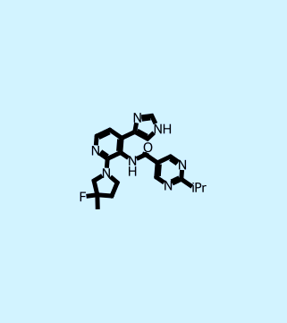 CC(C)c1ncc(C(=O)Nc2c(-c3c[nH]cn3)ccnc2N2CCC(C)(F)C2)cn1